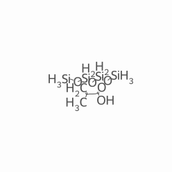 C=C(C)C(=O)O.[SiH3]O[SiH2]O[SiH2]O[SiH3]